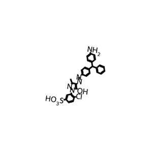 Cc1nn(-c2cc(S(=O)(=O)O)ccc2Cl)c(O)c1/N=N/c1ccc(C(c2ccccc2)c2ccc(N)cc2)cc1